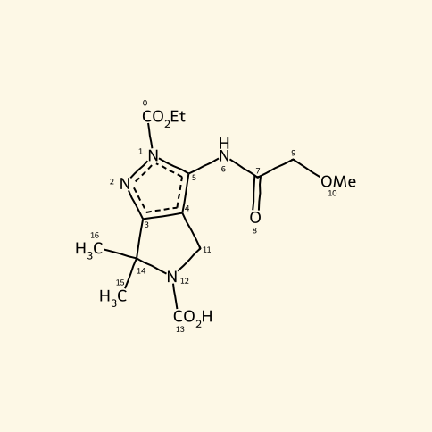 CCOC(=O)n1nc2c(c1NC(=O)COC)CN(C(=O)O)C2(C)C